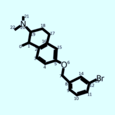 CC1c2ccc(OCc3cccc(Br)c3)cc2CCC1N(C)C